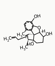 C=CCN1CC[C@]23c4c(C)ccc(O)c4O[C@H]2C(O)CC[C@@]3(O)[C@H]1C